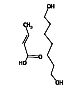 CC=CC(=O)O.OCCCCCCCO